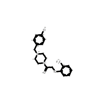 O=C(COc1ccccc1C(F)(F)F)N1CCN(Cc2ccc(Cl)cc2)CC1